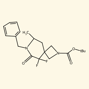 CC1CC2(CN(C(=O)OC(C)(C)C)C2)C(F)(F)C(=O)N1Cc1ccccc1